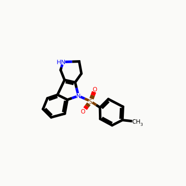 Cc1ccc(S(=O)(=O)n2c3c(c4ccccc42)CNCC3)cc1